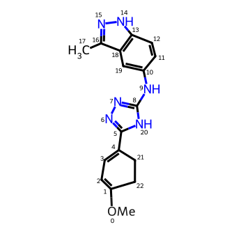 COC1=CC=C(c2nnc(Nc3ccc4[nH]nc(C)c4c3)[nH]2)CC1